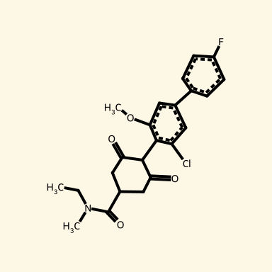 CCN(C)C(=O)C1CC(=O)C(c2c(Cl)cc(-c3ccc(F)cc3)cc2OC)C(=O)C1